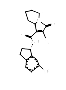 O=C(N[C@@H]1CCc2ccc(C(F)(F)F)cc21)C1=C(O)C(=O)N2CCCCC12